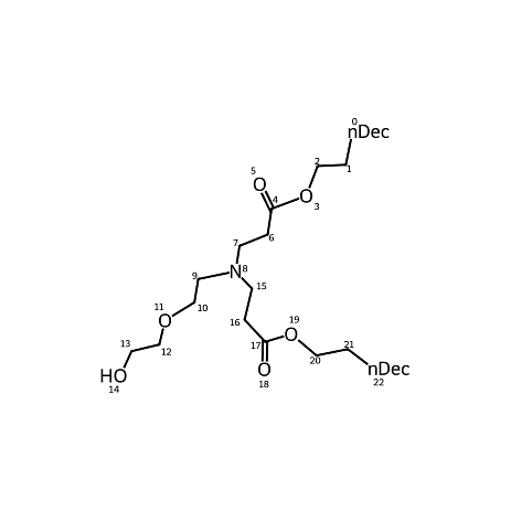 CCCCCCCCCCCCOC(=O)CCN(CCOCCO)CCC(=O)OCCCCCCCCCCCC